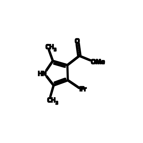 COC(=O)c1c(C)[nH]c(C)c1C(C)C